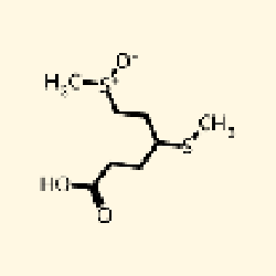 CSC(CCC(=O)O)CC[S+](C)[O-]